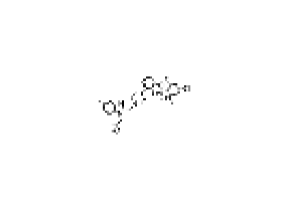 CC1(c2ccc(Cl)cc2F)Oc2cccc(C3CCN(Cc4nc5cc(I)ccc5n4CC4CCO4)CC3)c2O1